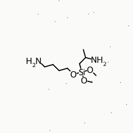 CO[Si](CC(C)N)(OC)OCCCCN